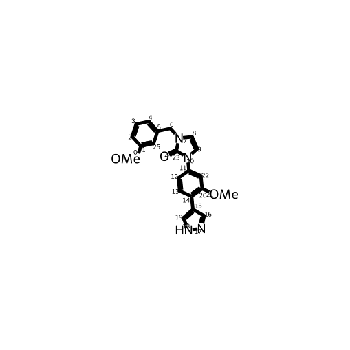 COc1cccc(Cn2ccn(-c3ccc(-c4cn[nH]c4)c(OC)c3)c2=O)c1